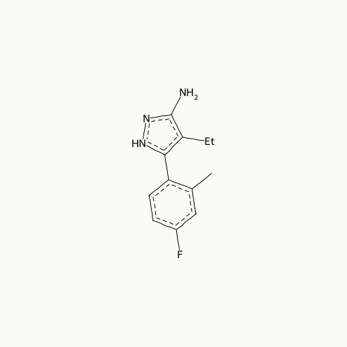 CCc1c(N)n[nH]c1-c1ccc(F)cc1C